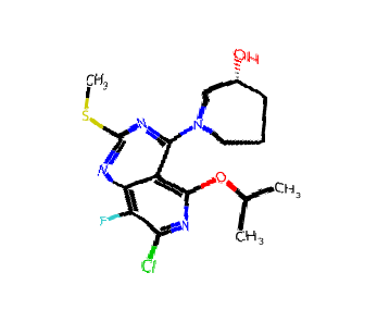 CSc1nc(N2CCC[C@@H](O)C2)c2c(OC(C)C)nc(Cl)c(F)c2n1